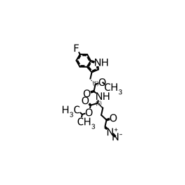 CO[C@@H](Cc1c[nH]c2cc(F)ccc12)C(=O)N[C@@H](CCC(=O)C=[N+]=[N-])C(=O)OC(C)C